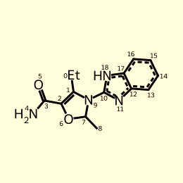 CCC1=C(C(N)=O)OC(C)N1c1nc2ccccc2[nH]1